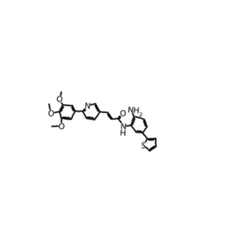 COc1cc(-c2ccc(C=CC(=O)Nc3cc(-c4cccs4)ccc3N)cn2)cc(OC)c1OC